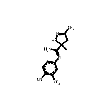 [C-]#[N+]c1ccc(/N=C(\N)C2(C)CC(C(F)(F)F)=NN2)cc1C(F)(F)F